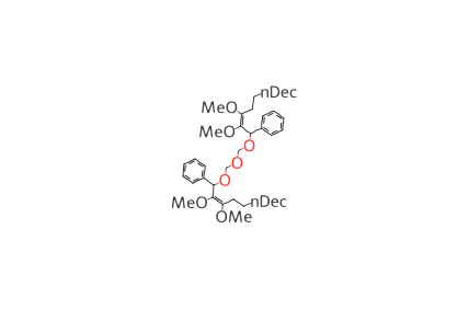 CCCCCCCCCCCCC(OC)=C(OC)C(OCOCOC(C(OC)=C(CCCCCCCCCCCC)OC)c1ccccc1)c1ccccc1